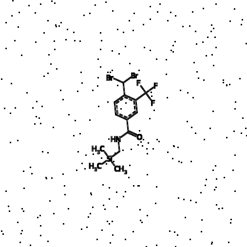 C[Si](C)(C)CNC(=O)c1ccc(C(Br)Br)c(C(F)(F)F)c1